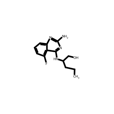 CCCC(CO)Nc1nc(N)nc2cccc(F)c12